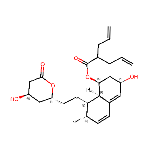 C=CCC(CC=C)C(=O)O[C@H]1C[C@H](O)C=C2C=C[C@H](C)[C@H](CC[C@@H]3C[C@@H](O)CC(=O)O3)[C@H]21